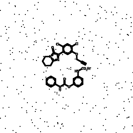 C#CCOc1cc(-n2nc3n(c2=O)CCCC3)c(Cl)cc1Cl.CCOC(=O)Nc1cccc(OC(=O)Nc2ccccc2)c1